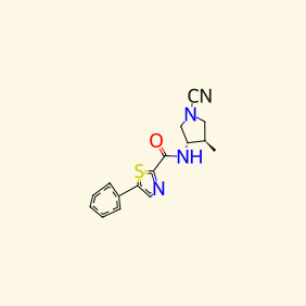 C[C@@H]1CN(C#N)C[C@H]1NC(=O)c1ncc(-c2ccccc2)s1